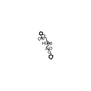 COC(=O)c1ccccc1CCCCCP(=O)(O)CCN(C)C(=O)OCc1ccccc1